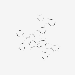 c1ccc(N(c2ccccc2)c2cc3c4c(c2)Oc2cc(N(c5ccccc5)c5ccccc5)c5ccccc5c2B4c2c(cc(N(c4ccccc4)c4ccccc4)c4ccccc24)O3)cc1